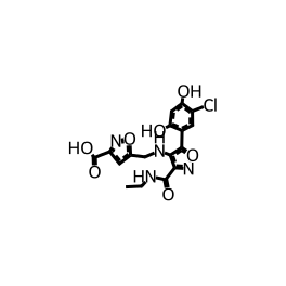 CCNC(=O)c1noc(-c2cc(Cl)c(O)cc2O)c1NCc1cc(C(=O)O)no1